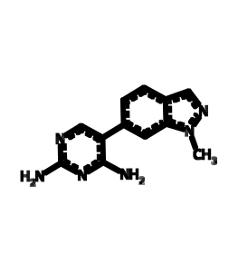 Cn1ncc2ccc(-c3cnc(N)nc3N)cc21